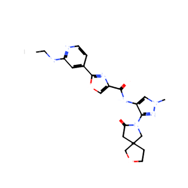 Cn1cc(NC(=O)c2coc(-c3ccnc(NCC(F)(F)F)c3)n2)c(N2CC3(CCOC3)CC2=O)n1